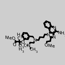 COCCc1nc2c(N)nc3ccccc3c2n1CCCCN(CCN(C)C)Cc1cccc(OC(C)(C)C(=O)OC)c1